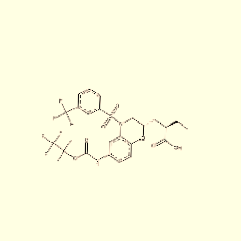 CC[C@H](C[C@H]1CN(S(=O)(=O)c2cccc(C(F)(F)F)c2)c2cc(NC(=O)OC(C)(C)C(F)(F)F)ccc2O1)C(=O)O